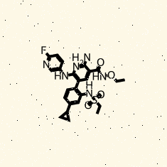 CCONC(=O)c1cc(-c2ccc(C3CC3)cc2NS(=O)(=O)CC)c(Nc2ccc(F)nc2)nc1N